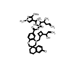 C=CCC(C)C(C)S(=O)(=NC(=O)c1ccc2c(c1)N(CC1CCC1C(O)C=C)CC1(CCCc3cc(Cl)ccc31)CO2)NC(=O)c1cn(C)nc1OC